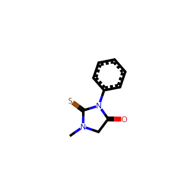 CN1CC(=O)N(c2ccccc2)C1=S